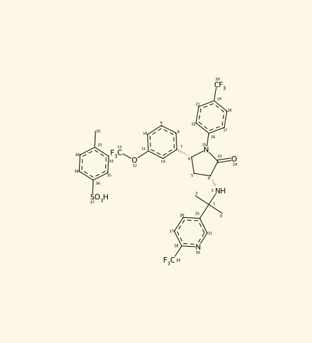 CC(C)(N[C@@H]1C[C@H](c2cccc(OC(F)(F)F)c2)N(c2ccc(C(F)(F)F)cc2)C1=O)c1ccc(C(F)(F)F)nc1.Cc1ccc(S(=O)(=O)O)cc1